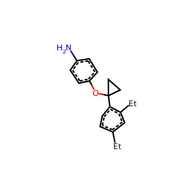 CCc1ccc(C2(Oc3ccc(N)cc3)CC2)c(CC)c1